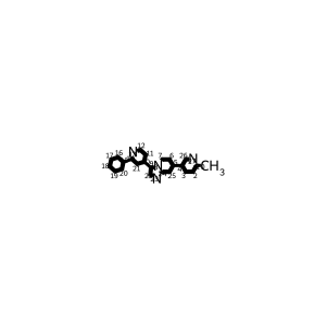 Cc1ccc(-c2ccn3c(-c4ccnc(-c5ccccc5)c4)cnc3c2)cn1